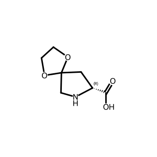 O=C(O)[C@H]1CC2(CN1)OCCO2